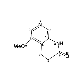 COc1cncc2c1CCC(=O)N2